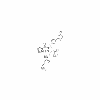 NCCCC(=O)NCC[C@H](C[C@@H](Cc1ccc(-c2cc(Cl)ccc2F)cc1)NC(=O)c1cnn[nH]1)C(=O)O